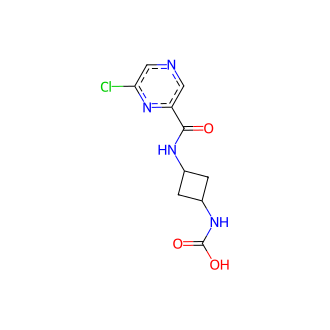 O=C(O)NC1CC(NC(=O)c2cncc(Cl)n2)C1